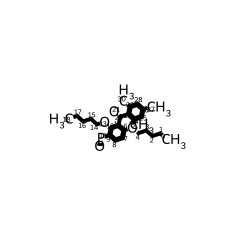 CCCCCOc1ccc(P=O)c(OCCCCC)c1C(=O)c1c(C)cc(C)cc1C